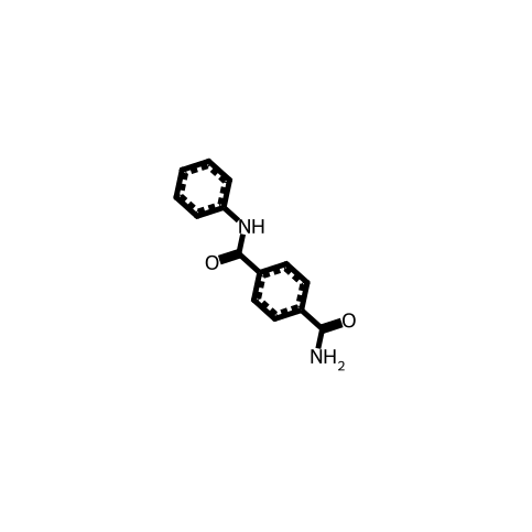 NC(=O)c1ccc(C(=O)Nc2ccccc2)cc1